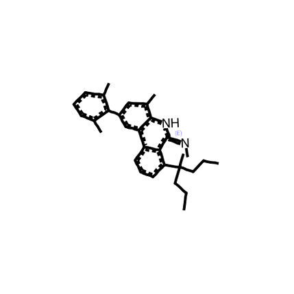 CCCC(C)(CCC)c1cccc2c1/c(=N\C)[nH]c1c(C)cc(-c3c(C)cccc3C)cc12